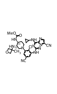 COC(=O)N[C@H]1CCN(c2cc(C#N)cc(Nc3nc(NC4CC4)c4ncc(C#N)n4n3)c2Cl)C[C@@H]1NC1(C)COC1